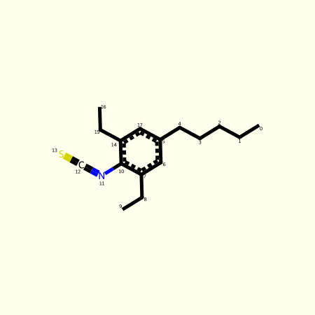 CCCCCc1cc(CC)c(N=C=S)c(CC)c1